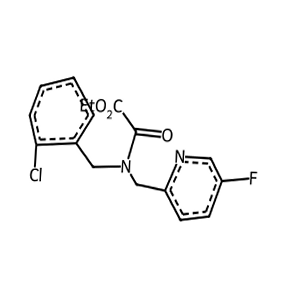 CCOC(=O)C(=O)N(Cc1ccc(F)cn1)Cc1ccccc1Cl